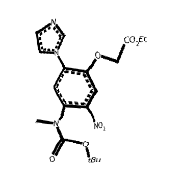 CCOC(=O)COc1cc([N+](=O)[O-])c(N(C)C(=O)OC(C)(C)C)cc1-n1ccnc1